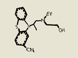 CCN(CCO)CC(C)N1c2ccccc2Sc2ccc(C#N)cc21